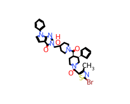 Cc1nc(Br)sc1C(=O)N1CC[C@@H](C(=O)N2CCC(O)(Cn3cnc4c(ccn4-c4ccccc4)c3=O)CC2)[C@H](c2ccccc2)C1